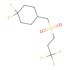 O=S(=O)(CCC(F)(F)F)CC1CCC(F)(F)CC1